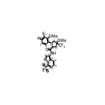 COc1c(N2CC(OC)(C(F)(F)F)CC2C(=O)Nc2cnn3c(S(C)(=O)=O)nccc23)ccc(F)c1F